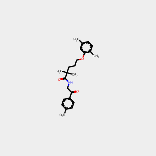 Cc1ccc(C)c(OCCCC(C)(C)C(=O)NCC(=O)c2ccc([N+](=O)[O-])cc2)c1